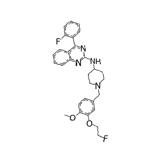 COc1ccc(CN2CCC(Nc3nc(-c4ccccc4F)c4ccccc4n3)CC2)cc1OCCF